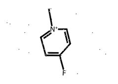 [CH2][n+]1ccc(F)cc1